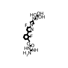 N=C(N)NC(=O)OCc1cccc(-c2cnc(N3CC(=NOC(O)(O)O)C3)c(F)c2)c1F